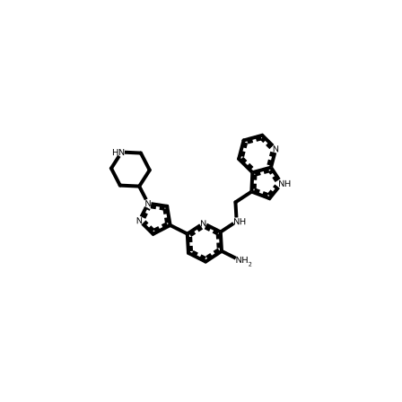 Nc1ccc(-c2cnn(C3CCNCC3)c2)nc1NCc1c[nH]c2ncccc12